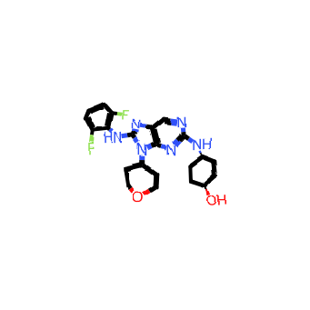 O[C@H]1CC[C@H](Nc2ncc3nc(Nc4c(F)cccc4F)n(C4CCOCC4)c3n2)CC1